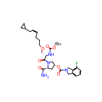 CC(C)(C)OC(=O)N[C@@H](COCCC/C=C\CC1CC1)C(=O)N1C[C@H](OC(=O)N2Cc3cccc(F)c3C2)C[C@H]1C(N)=O